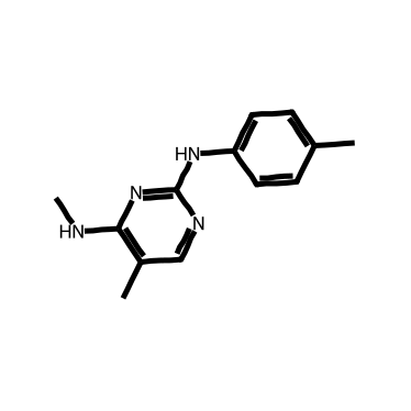 CNc1nc(Nc2ccc(C)cc2)ncc1C